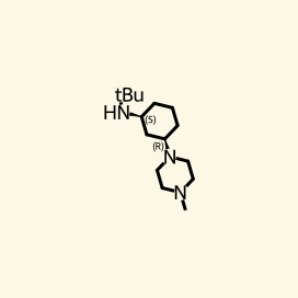 CN1CCN([C@@H]2CCC[C@H](NC(C)(C)C)C2)CC1